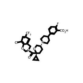 O=C(O)c1cc(C2CCN([C@@H]3CC[C@@](C(=O)N4COc5c(Cl)cc(C(F)(F)F)cc5C4)(C4CC4)OC3)CC2)ccc1F